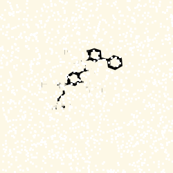 CCCCOc1cc(N(C)CCN(C)C)ccc1C(=O)Nc1cc(-c2ccccc2)ccc1C(=O)O